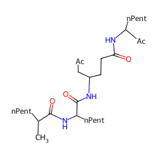 CCCCCC(C)C(=O)NC(CCCCC)C(=O)NC(CCC(=O)NC(CCCCC)C(C)=O)CC(C)=O